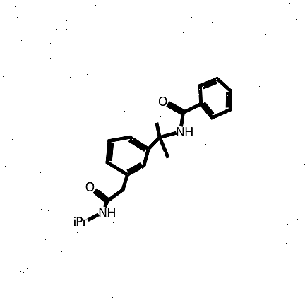 CC(C)NC(=O)Cc1cccc(C(C)(C)NC(=O)c2ccccc2)c1